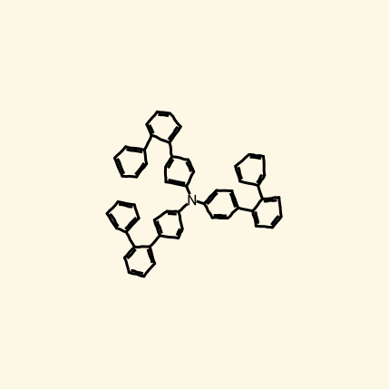 c1ccc(-c2ccccc2-c2ccc(N(c3ccc(-c4ccccc4-c4ccccc4)cc3)c3ccc(-c4ccccc4-c4ccccc4)cc3)cc2)cc1